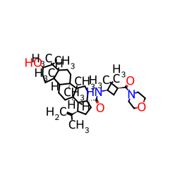 C=C(C)[C@@H]1CC[C@]2(C(=O)N[C@@H]3C[C@H](C(=O)N4CCOCC4)C3(C)C)CC[C@]3(C)[C@H](CC[C@@H]4[C@@]5(C)CC[C@H](O)C(C)(C)[C@@H]5CC[C@]43C)[C@@H]12